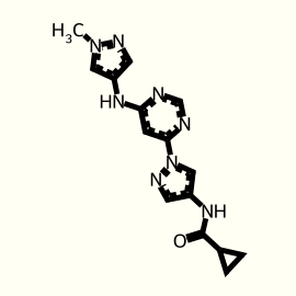 Cn1cc(Nc2cc(-n3cc(NC(=O)C4CC4)cn3)ncn2)cn1